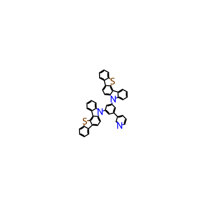 c1cncc(-c2cc(-n3c4ccccc4c4c5sc6ccccc6c5ccc43)cc(-n3c4ccccc4c4c5sc6ccccc6c5ccc43)c2)c1